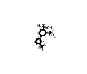 CN[C@@H]1C[C@@H](c2cccc(C(F)(F)F)c2)CC[C@H]1N(C)C